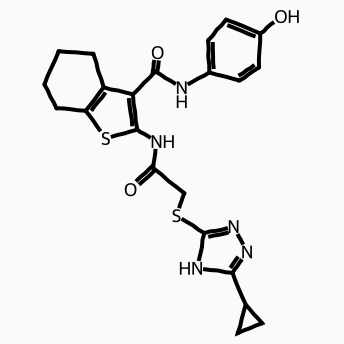 O=C(CSc1nnc(C2CC2)[nH]1)Nc1sc2c(c1C(=O)Nc1ccc(O)cc1)CCCC2